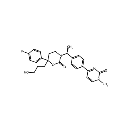 C[C@@H](c1ccc(-c2ccn(C)c(=O)n2)cc1)N1CCC(CCCO)(c2ccc(F)cc2)OC1=O